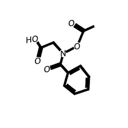 CC(=O)ON(CC(=O)O)C(=O)c1ccccc1